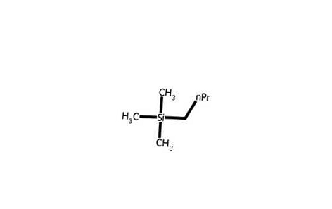 C[CH]CC[Si](C)(C)C